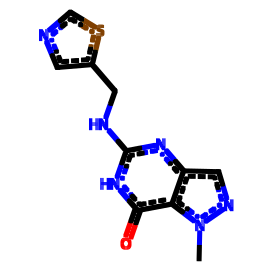 Cn1ncc2nc(NCc3cncs3)[nH]c(=O)c21